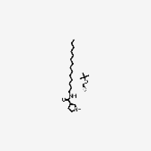 CC(C)(C)OC=O.CCCCCCCCCCCCCCNC(=O)C1CCNC1